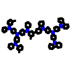 Cc1cccc(N(c2ccccc2)c2ccc(N(c3ccc(N(c4ccccc4)c4cccc(C)c4)cc3)c3ccc(N(c4ccccc4)c4cc(C)cc(-c5ccc6c(c5)c5ccccc5n6-c5ccc(N(c6ccc(-n7c8ccccc8c8ccccc87)cc6)c6ccc(-n7c8ccccc8c8ccccc87)cc6)cc5)c4)cc3)cc2)c1